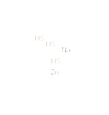 [Na+].[SH-].[SH-].[SH-].[Zn+2]